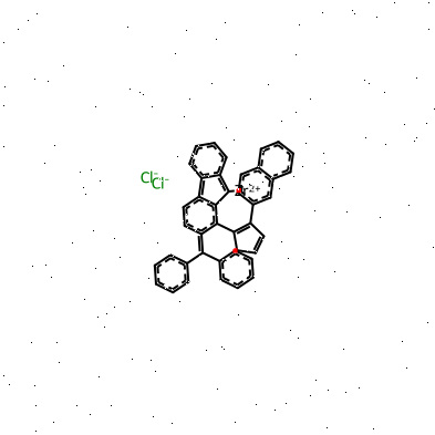 [Cl-].[Cl-].[Zr+2][C]1=c2ccccc2=c2ccc(=C(c3ccccc3)c3ccccc3)c(C3=C(c4ccc5ccccc5c4)C=CC3)c21